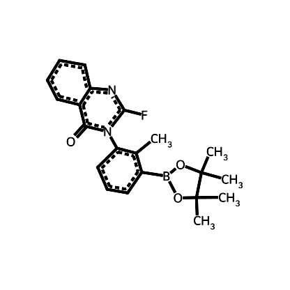 Cc1c(B2OC(C)(C)C(C)(C)O2)cccc1-n1c(F)nc2ccccc2c1=O